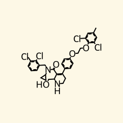 Cc1cc(Cl)c(OCCOc2ccc(C3=C(C(=O)N(Cc4cccc(Cl)c4Cl)C4CC4)C(CO)NCC3)cc2)c(Cl)c1